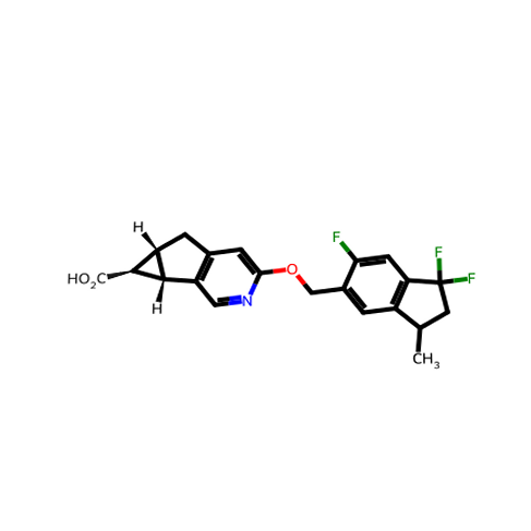 CC1CC(F)(F)c2cc(F)c(COc3cc4c(cn3)[C@H]3[C@@H](C4)[C@@H]3C(=O)O)cc21